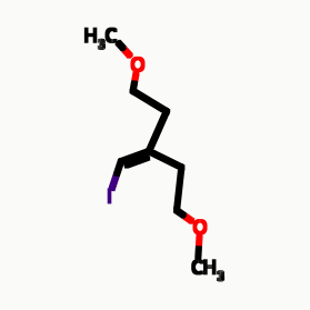 COCCC(=CI)CCOC